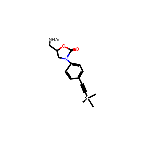 CC(=O)NCC1CN(c2ccc(C#C[Si](C)(C)C)cc2)C(=O)O1